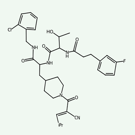 CC(C)C=C(C#N)C(=O)N1CCC(CC(NC(=O)C(NC(=O)CCc2cccc(F)c2)C(C)O)C(=O)NCc2ccccc2Cl)CC1